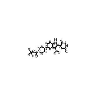 Cc1cnc(Cl)cc1-c1[nH]c2ccc(C3CCN(C(=O)OC(C)(C)C)CC3)cc2c1C(C)C